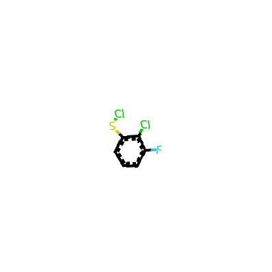 Fc1cccc(SCl)c1Cl